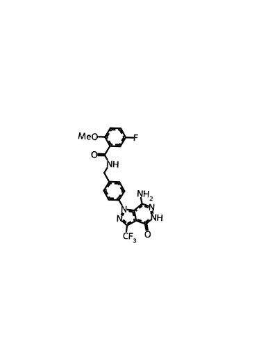 COc1ccc(F)cc1C(=O)NCc1ccc(-n2nc(C(F)(F)F)c3c(=O)[nH]nc(N)c32)cc1